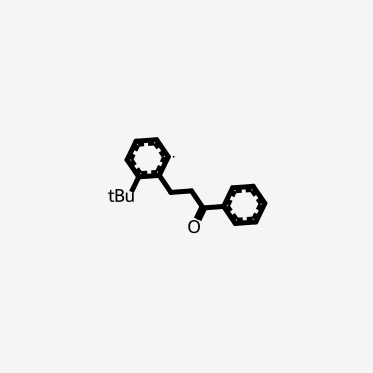 CC(C)(C)c1ccc[c]c1CCC(=O)c1ccccc1